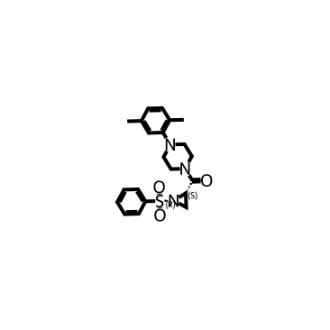 Cc1ccc(C)c(N2CCN(C(=O)[C@@H]3C[N@]3S(=O)(=O)c3ccccc3)CC2)c1